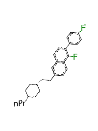 CCC[C@H]1CC[C@H](CCc2ccc3c(F)c(-c4ccc(F)cc4)ccc3c2)CC1